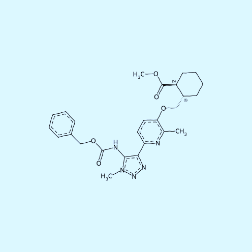 COC(=O)[C@H]1CCCC[C@@H]1COc1ccc(-c2nnn(C)c2NC(=O)OCc2ccccc2)nc1C